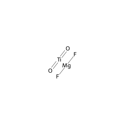 [F][Mg][F].[O]=[Ti]=[O]